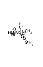 CCCCc1nc(CC)c(Cc2cccc(COC)c2)c(=O)n1Cc1ccc(-c2ccccc2-c2nnn[nH]2)cc1